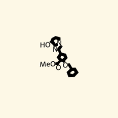 COC(=O)c1cc(-c2cn3cccc(O)c3n2)ccc1OCc1ccccc1